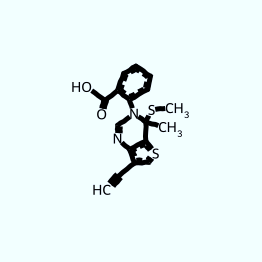 C#Cc1csc2c1N=CN(c1ccccc1C(=O)O)C2(C)SC